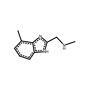 CNCc1nc2c(C)cccc2[nH]1